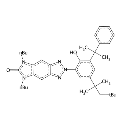 CCCCn1c(=O)n(CCCC)c2cc3nn(-c4cc(C(C)(C)CC(C)(C)C)cc(C(C)(C)c5ccccc5)c4O)nc3cc21